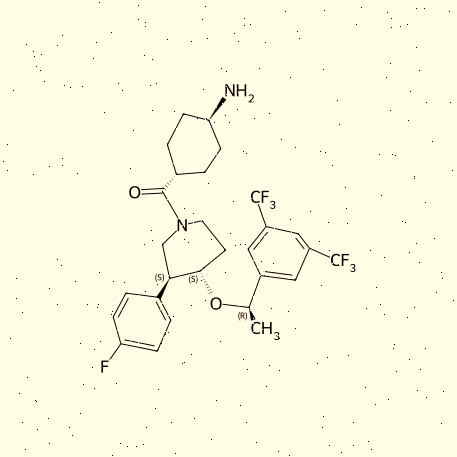 C[C@@H](O[C@H]1CCN(C(=O)[C@H]2CC[C@H](N)CC2)C[C@@H]1c1ccc(F)cc1)c1cc(C(F)(F)F)cc(C(F)(F)F)c1